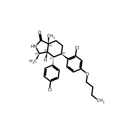 CCCCOc1ccc([C@@H]2CC[C@@]3(C)C(=O)N[C@H](C)[C@H]3[C@H]2c2ccc(Cl)cc2)c(Cl)c1